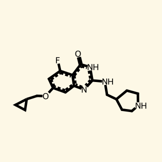 O=c1[nH]c(NCC2CCNCC2)nc2cc(OCC3CC3)cc(F)c12